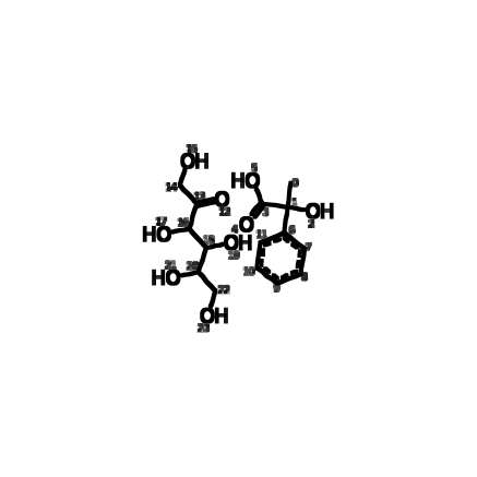 CC(O)(C(=O)O)c1ccccc1.O=C(CO)C(O)C(O)C(O)CO